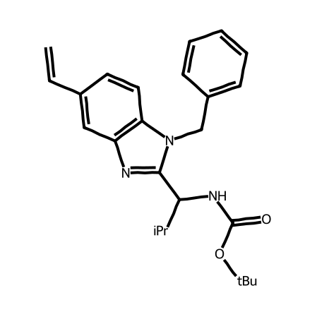 C=Cc1ccc2c(c1)nc(C(NC(=O)OC(C)(C)C)C(C)C)n2Cc1ccccc1